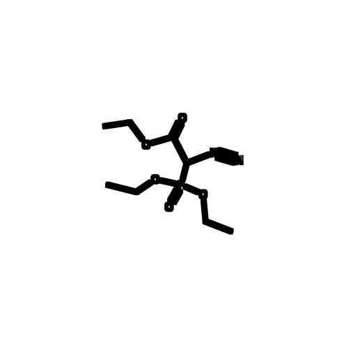 CCOC(=O)C([N+]#N)P(=O)(OCC)OCC